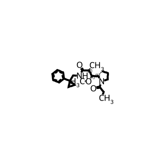 CCC(=O)N1CCC[C@H]1[C@H](OC)[C@@H](C)C(=O)NCC1(c2ccccc2)CC1